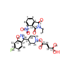 CCN1C(=O)c2cccc([N+](=O)[O-])c2C1=O.O=C(O)/C=C/C(=O)ON1CCC(c2noc3cc(F)ccc23)CC1